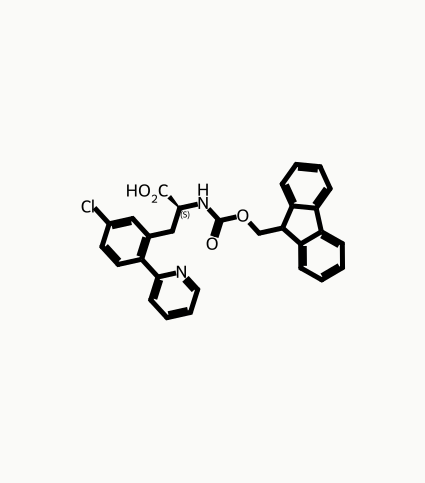 O=C(N[C@@H](Cc1cc(Cl)ccc1-c1ccccn1)C(=O)O)OCC1c2ccccc2-c2ccccc21